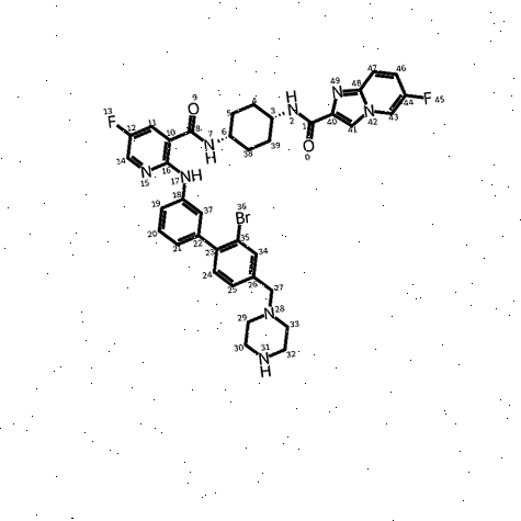 O=C(N[C@H]1CC[C@@H](NC(=O)c2cc(F)cnc2Nc2cccc(-c3ccc(CN4CCNCC4)cc3Br)c2)CC1)c1cn2cc(F)ccc2n1